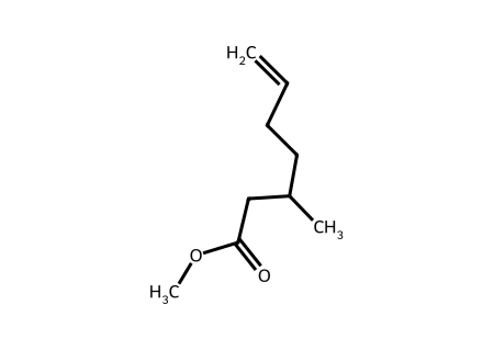 C=CCCC(C)CC(=O)OC